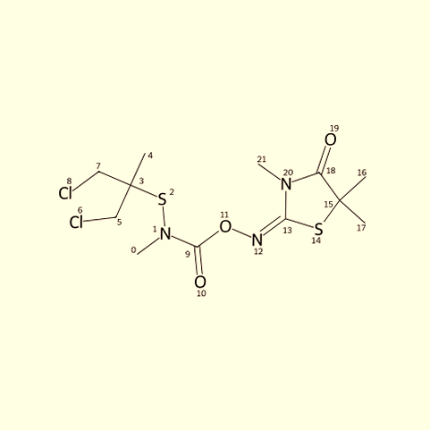 CN(SC(C)(CCl)CCl)C(=O)ON=C1SC(C)(C)C(=O)N1C